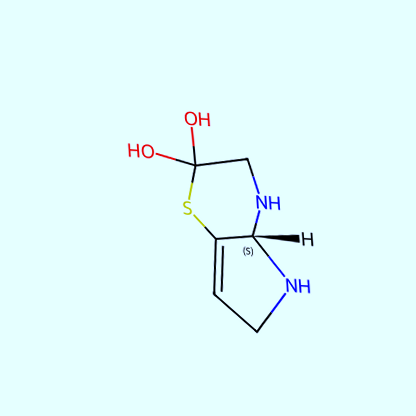 OC1(O)CN[C@@H]2NCC=C2S1